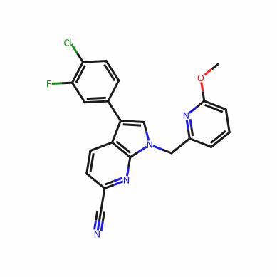 COc1cccc(Cn2cc(-c3ccc(Cl)c(F)c3)c3ccc(C#N)nc32)n1